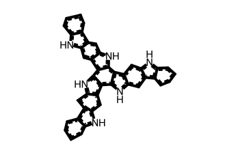 c1ccc2c(c1)[nH]c1cc3c(cc12)[nH]c1c3c2[nH]c3cc4c(cc3c2c2[nH]c3cc5c(cc3c12)[nH]c1ccccc15)[nH]c1ccccc14